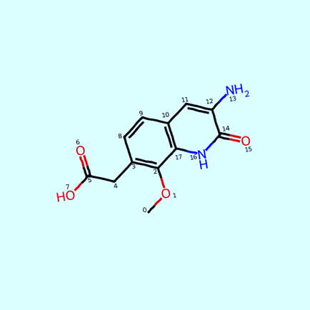 COc1c(CC(=O)O)ccc2cc(N)c(=O)[nH]c12